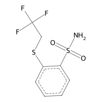 NS(=O)(=O)c1ccccc1SCC(F)(F)F